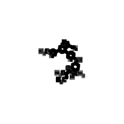 C=CC(C)C(=O)NC1(C)CCC(Nc2ccc(-c3cc(-c4cnn(C)c4)cn4ncc(C#N)c34)cn2)CC1